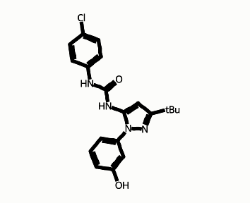 CC(C)(C)c1cc(NC(=O)Nc2ccc(Cl)cc2)n(-c2cccc(O)c2)n1